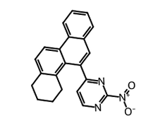 O=[N+]([O-])c1nccc(-c2cc3ccccc3c3ccc4c(c23)CCCC4)n1